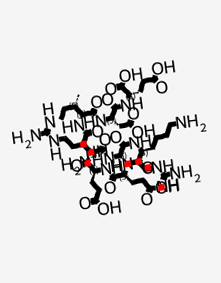 CC[C@H](C)[C@H](NC(=O)CNC(=O)[C@H](CCC(=O)O)NC(=O)[C@H](CCC(=O)O)NC(=O)[C@H](CCCCN)NC(=O)[C@H](CCCNC(=N)N)NC(=O)[C@@H](N)CCCNC(=N)N)C(=O)N[C@@H](CC(=O)O)C(=O)N[C@@H](CCC(=O)O)C(=O)O